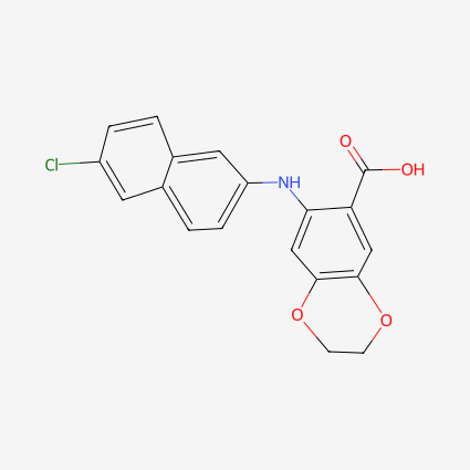 O=C(O)c1cc2c(cc1Nc1ccc3cc(Cl)ccc3c1)OCCO2